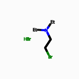 Br.CCN(CC)CCBr